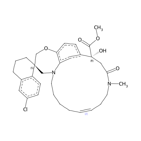 COC(=O)[C@@]1(O)CC(=O)N(C)CC/C=C\CCCCN2C[C@@]3(CCCc4cc(Cl)ccc43)COc3ccc1cc32